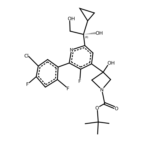 CC(C)(C)OC(=O)N1CC(O)(c2cc([C@@](O)(CO)C3CC3)nc(-c3cc(Cl)c(F)cc3F)c2F)C1